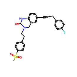 CS(=O)(=O)c1ccc(CCN2Cc3cc(C#CCc4ccc(F)cc4)ccc3NC2=O)cc1